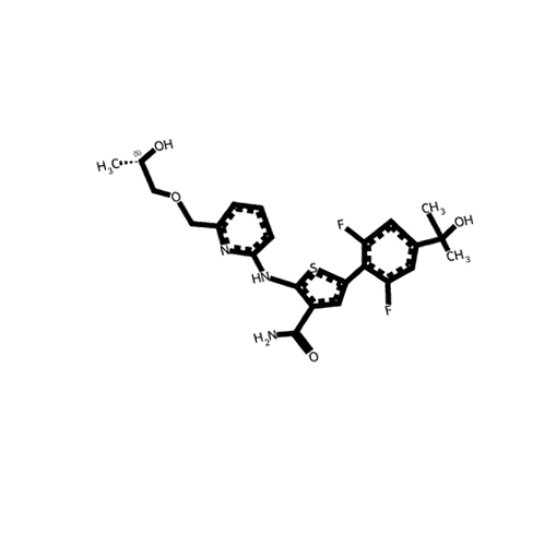 C[C@H](O)COCc1cccc(Nc2sc(-c3c(F)cc(C(C)(C)O)cc3F)cc2C(N)=O)n1